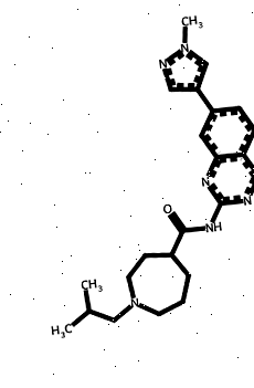 CC(C)CN1CCCC(C(=O)Nc2ncc3ccc(-c4cnn(C)c4)cc3n2)CC1